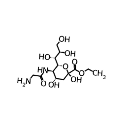 CCOC(=O)[C@]1(O)C[C@H](O)[C@@H](NC(=O)CN)[C@H]([C@H](O)[C@H](O)CO)O1